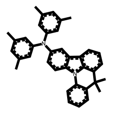 Cc1cc(C)cc(N(c2cc(C)cc(C)c2)c2ccc3c(c2)c2cccc4c2n3-c2ccccc2C4(C)C)c1